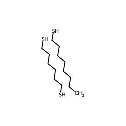 CCCCCCCCS.SCCCCCCS